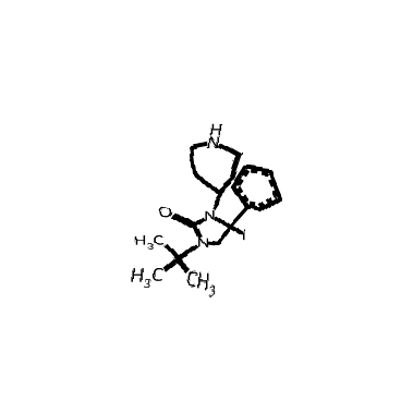 CC(C)(C)N1CC(I)(c2ccccc2)N(C2CCNCC2)C1=O